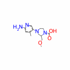 COCC1CN(c2cnc(N)cc2C)CCN1C(=O)O